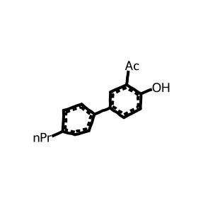 CCCc1ccc(-c2ccc(O)c(C(C)=O)c2)cc1